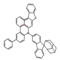 c1ccc(-c2ccc(N(c3ccc4c(c3)-c3ccccc3C43C4CC5CC(C4)CC3C5)c3ccc4c(c3)sc3ccccc34)c(-c3ccccc3)c2)cc1